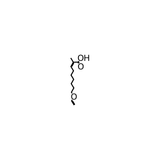 C=COCCCCCCC=C(C)C(=O)O